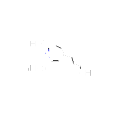 C=C/C=C/C1C=CC(C)=NC(CCCCCCC)=C1